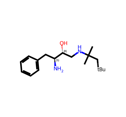 CC(C)(C)CC(C)(C)NC[C@@H](O)[C@@H](N)Cc1ccccc1